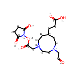 O=CCN1CCC(CCC(=O)O)CCN(CC(=O)ON2C(=O)CCC2=O)CC1